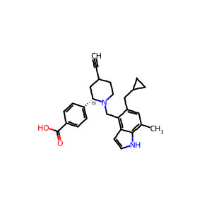 C#CC1CCN(Cc2c(CC3CC3)cc(C)c3[nH]ccc23)[C@H](c2ccc(C(=O)O)cc2)C1